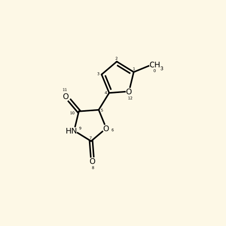 Cc1ccc(C2OC(=O)NC2=O)o1